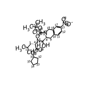 CC(C)C[C@H](NC(O)[C@@H]1Cc2ccc([N+](=O)[O-])cc2CN1C(=O)OC(C)(C)C)C(=O)OC1CCCC1